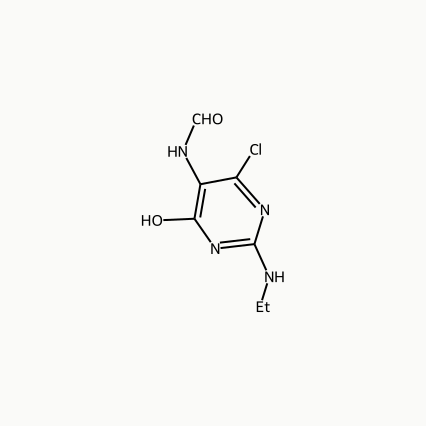 CCNc1nc(O)c(NC=O)c(Cl)n1